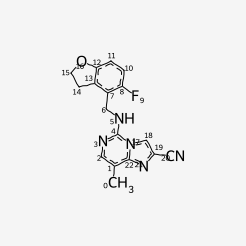 Cc1cnc(NCc2c(F)ccc3c2CCO3)n2cc(C#N)nc12